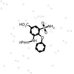 CCCCCNc1cc(C(=O)O)cc(S(N)(=O)=O)c1Oc1ccccc1